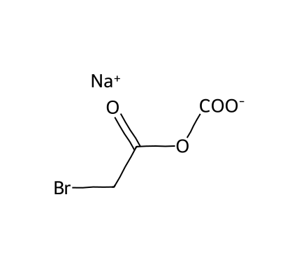 O=C([O-])OC(=O)CBr.[Na+]